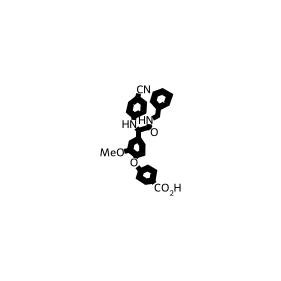 COc1cc(C(Nc2ccc(C#N)cc2)C(=O)NCc2ccccc2)ccc1Oc1ccc(C(=O)O)cc1